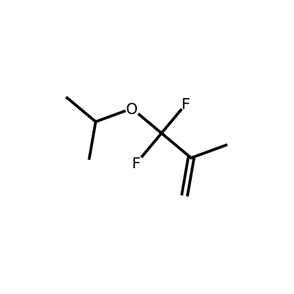 C=C(C)C(F)(F)OC(C)C